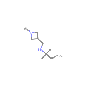 CCC(C)N1CC(CNC(C)(C)COC)C1